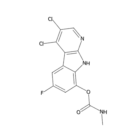 CNC(=O)Oc1cc(F)cc2c1[nH]c1ncc(Cl)c(Cl)c12